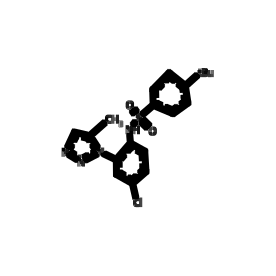 Cc1cnnn1-c1cc(Cl)ccc1NS(=O)(=O)c1ccc(C(C)(C)C)cc1